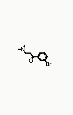 CN(C)CCC(=O)c1cccc(Br)c1